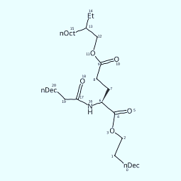 CCCCCCCCCCCCOC(=O)[C@H](CCC(=O)OCC(CC)CCCCCCCC)NC(=O)CCCCCCCCCCC